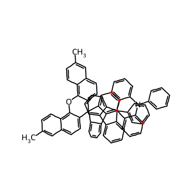 Cc1ccc2c3c(ccc2c1)C1(c2ccccc2-c2c(-c4ccccc4N(c4ccccc4)c4ccccc4C4(c5ccccc5)c5ccccc5-c5ccccc54)cccc21)c1ccc2cc(C)ccc2c1O3